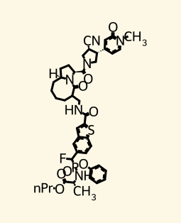 CCCOC(=O)[C@H](C)NP(=O)(Oc1ccccc1)C(F)c1ccc2sc(C(=O)NCC3CCCC[C@H]4CC[C@@H](C(=O)N5C[C@@H](C#N)[C@H](c6ccn(C)c(=O)c6)C5)N4C3=O)cc2c1